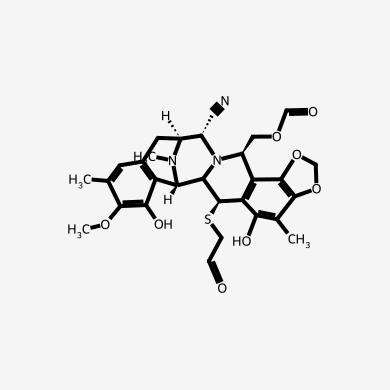 COc1c(C)cc2c(c1O)[C@H]1C3[C@H](SCC=O)c4c(O)c(C)c5c(c4[C@H](COC=O)N3[C@@H](C#N)[C@H](C2)N1C)OCO5